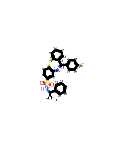 CC(NS(=O)(=O)c1ccc2c(c1)N=C(c1ccc(F)cc1)c1ccccc1S2)c1ccccc1